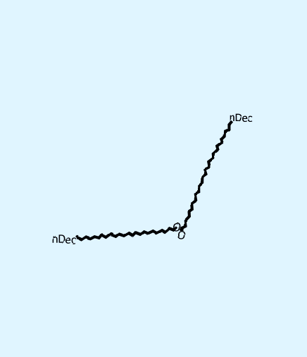 CCCCCCCCCCCCCCCCCCCCCCCCCCCCCCCCCCCCCC(=O)OCCCCCCCCCCCCCCCCCCCCCCCCCCCCCCCCCC